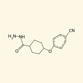 N#Cc1ccc(OC2CCC(C(=O)NN)CC2)cc1